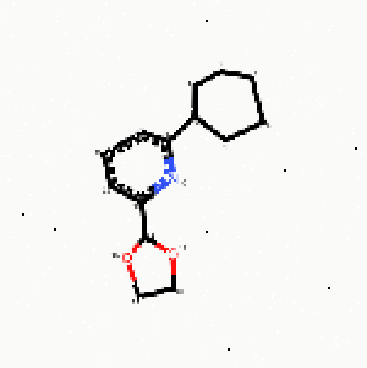 c1cc(C2CCCCC2)nc(C2OCCO2)c1